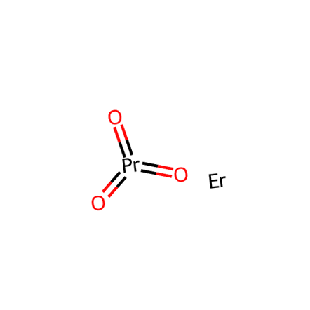 [Er].[O]=[Pr](=[O])=[O]